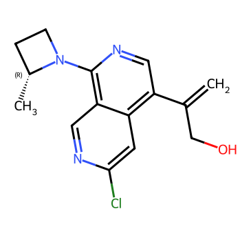 C=C(CO)c1cnc(N2CC[C@H]2C)c2cnc(Cl)cc12